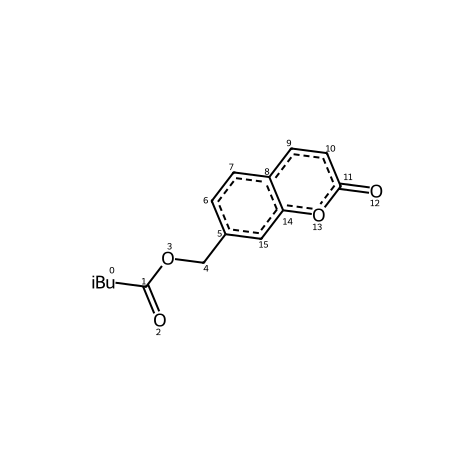 CCC(C)C(=O)OCc1ccc2ccc(=O)oc2c1